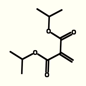 C=C(C(=O)OC(C)C)C(=O)OC(C)C